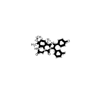 COC1(C)C=CC2(C)C3=NC(c4ccc(Cl)cc4)C(c4cccc(F)c4)N3C(=O)N3CC(=O)NC1=C32